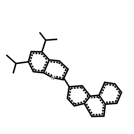 CC(C)c1cc(C(C)C)c2ccc(-c3ccc4ccc5ccccc5c4c3)nc2c1